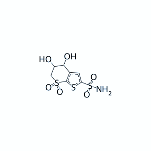 NS(=O)(=O)c1cc2c(s1)S(=O)(=O)CC(O)C2O